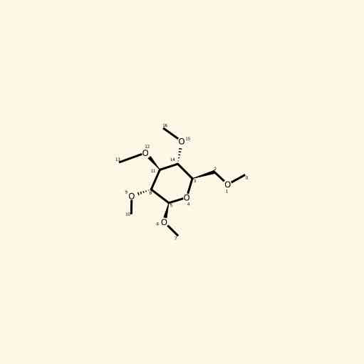 COC[C@H]1O[C@@H](OC)[C@H](OC)[C@@H](OC)[C@@H]1OC